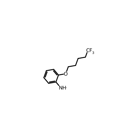 [NH]c1ccccc1OCCCCC(F)(F)F